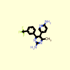 Cc1nc(N)nc(-c2cccc(C(F)(F)F)c2)c1-c1ccc(N)nc1